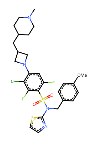 COc1ccc(CN(c2nccs2)S(=O)(=O)c2c(F)cc(N3CC(CC4CCN(C)CC4)C3)c(Cl)c2F)cc1